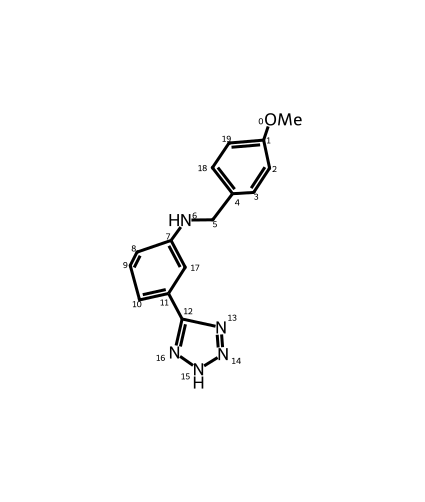 COc1ccc(CNc2cccc(-c3nn[nH]n3)c2)cc1